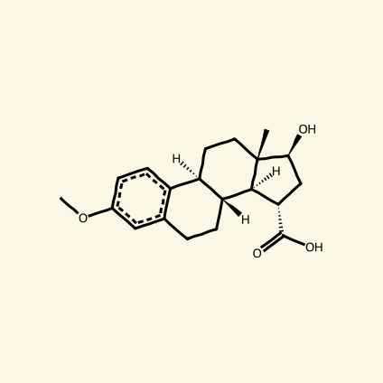 COc1ccc2c(c1)CC[C@H]1[C@@H]3[C@@H](C(=O)O)C[C@H](O)[C@@]3(C)CC[C@H]21